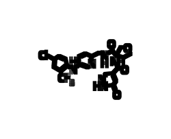 O=C(N[C@@]1(C(=O)NCc2ccc(Nc3ccc(Cl)cc3C(F)(F)F)cn2)CCOC1)c1cn[nH]c(=O)c1